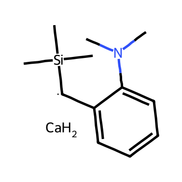 CN(C)c1ccccc1[CH][Si](C)(C)C.[CaH2]